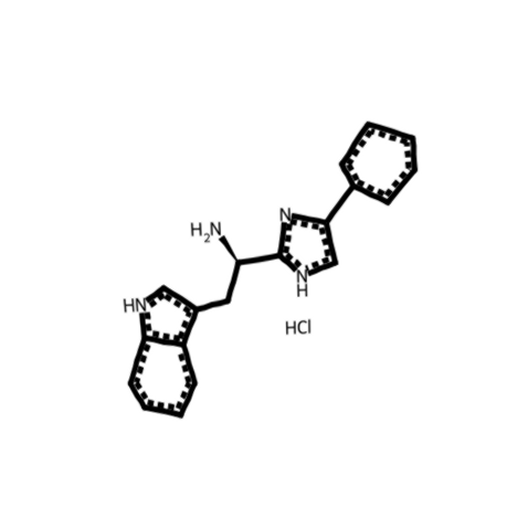 Cl.N[C@H](Cc1c[nH]c2ccccc12)c1nc(-c2ccccc2)c[nH]1